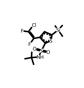 CC(C)(C)NS(=O)(=O)c1sc([Si](C)(C)C)cc1C(F)=C(F)Cl